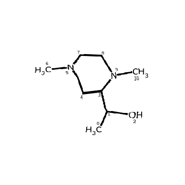 CC(O)C1CN(C)CCN1C